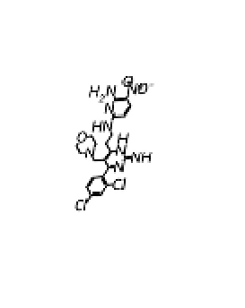 N=c1nc(-c2ccc(Cl)cc2Cl)c(CN2CCOCC2)c(CCNc2ccc([N+](=O)[O-])c(N)n2)[nH]1